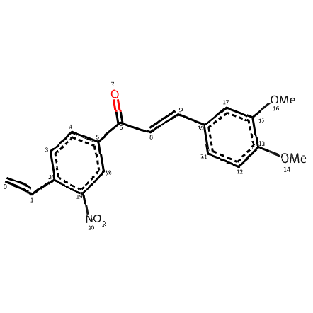 C=Cc1ccc(C(=O)C=Cc2ccc(OC)c(OC)c2)cc1[N+](=O)[O-]